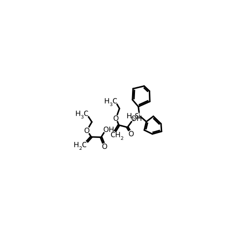 C=C(OCC)C(=O)O.C=C(OCC)C(=O)O.c1ccc([SiH2]c2ccccc2)cc1